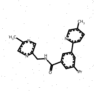 Cc1ccc(-c2cc(C(=O)NCc3cnc(C)cn3)cc(C(C)C)c2)nc1